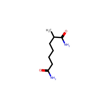 CC(CCCCC(N)=O)C(N)=O